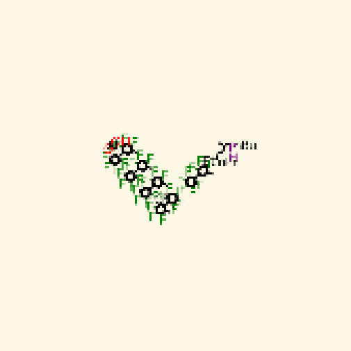 CCCCPCC(C)CCC(CC)CCC.Cc1c(F)c(F)c(F)c(C(F)(F)F)c1-c1c(F)c(F)c(F)c(F)c1F.Cc1cc(-c2c(F)c(F)c(F)c(F)c2F)c(F)c(F)c1F.Cc1cc(-c2c(F)c(F)c(F)c(F)c2F)c(F)c(F)c1F.Cc1cc(-c2c(F)c(F)c(F)c(F)c2F)c(F)c(F)c1F.Cc1cc(-c2c(F)c(F)c(F)c(F)c2F)c(F)c(F)c1F.[O]=[Al][OH]